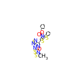 CCN1C(=O)/C(=N\c2ncc(-c3cc4c(s3)c3sc5ccccc5c3n4C(=O)OCc3ccccc3)c3nsnc23)SC1=S